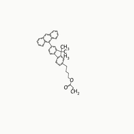 C=CC(=O)OCCCCc1ccc2c(c1)C(C)(C)c1cc(-c3c4ccccc4cc4ccccc34)ccc1-2